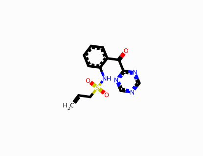 C=CCS(=O)(=O)Nc1ccccc1C(=O)c1ncncn1